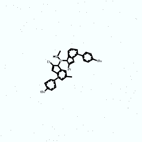 CCC1=Cc2c(-c3ccc(C(C)(C)C)cc3)cc(C)cc2[CH]1[Zr]([CH]1C(C(C)C)=Cc2c(-c3ccc(C(C)(C)C)cc3)cccc21)[SiH](C)C